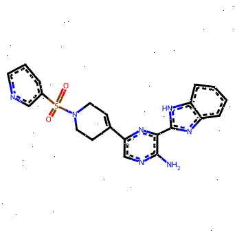 Nc1ncc(C2=CCN(S(=O)(=O)c3cccnc3)CC2)nc1-c1nc2ccccc2[nH]1